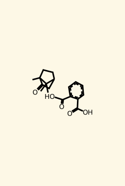 CC12CCC(CC1=O)C2(C)C.O=C(O)c1ccccc1C(=O)O